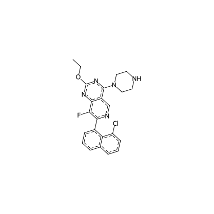 CCOc1nc(N2CCNCC2)c2cnc(-c3cccc4cccc(Cl)c34)c(F)c2n1